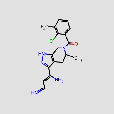 CC1Cc2c(/C(N)=C/C=N)n[nH]c2CN1C(=O)c1cccc(C(F)(F)F)c1Cl